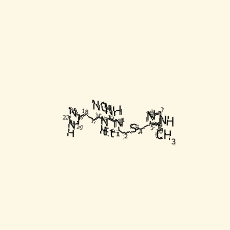 CC[C@@H](CSCc1nc[nH]c1C)N=C(NC#N)NCCCc1c[nH]cn1